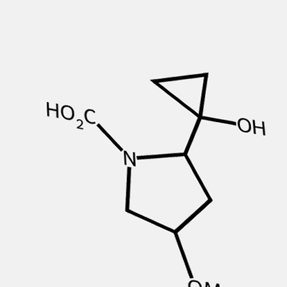 COC1CC(C2(O)CC2)N(C(=O)O)C1